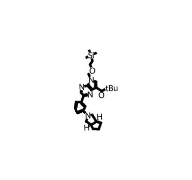 CC(C)(C)C(=O)c1cn(COCC[Si](C)(C)C)c2ncc(-c3cccc(N4C[C@H]5CCC[C@H]5C4)c3)nc12